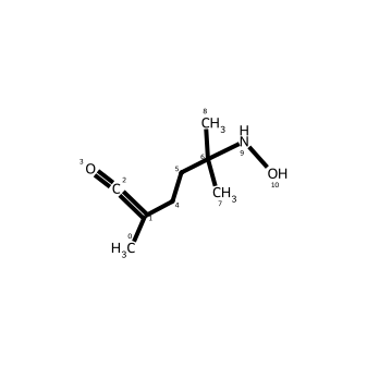 CC(=C=O)CCC(C)(C)NO